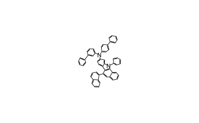 c1ccc(-c2ccc(N(c3cccc(-c4ccccc4)c3)c3ccc4c5c(-c6cccc7ccccc67)cc6ccccc6c5n(-c5ccccc5)c4c3)cc2)cc1